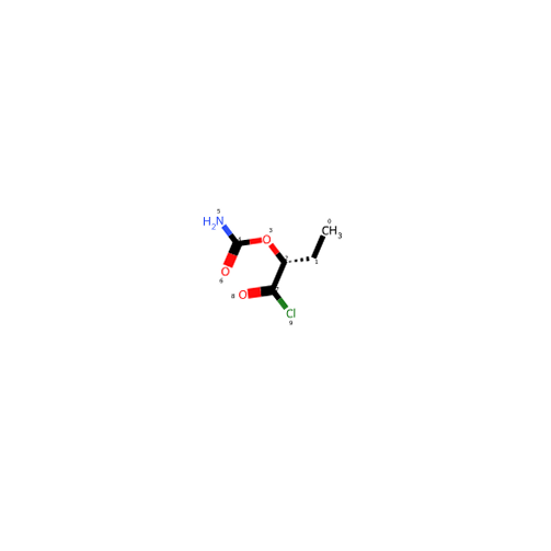 CC[C@@H](OC(N)=O)C(=O)Cl